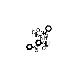 COC(=O)N/C(=N/C(=O)C1CCCCC1)Nc1ccc([S+]([O-])c2ccccc2)cc1NC(C)=O